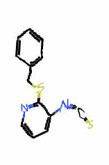 S=C=Nc1cccnc1SCc1ccccc1